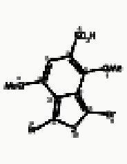 COc1cc(S(=O)(=O)O)c(OC)c2c(Br)sc(Br)c12